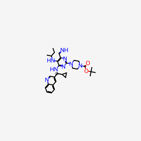 CCC(C)Nc1c(C=N)nc(N2CCN(C(=O)OC(C)(C)C)CC2)nc1N[C@@H](c1cnc2ccccc2c1)C1CC1